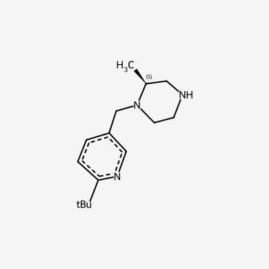 C[C@H]1CNCCN1Cc1ccc(C(C)(C)C)nc1